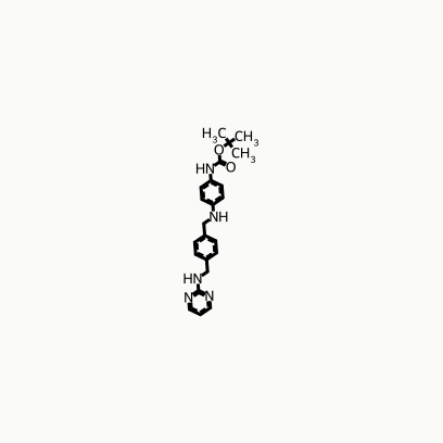 CC(C)(C)OC(=O)Nc1ccc(NCc2ccc(CNc3ncccn3)cc2)cc1